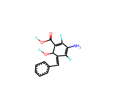 NC1=C(F)C(=Cc2ccccc2)C(OF)C(C(=O)OF)=C1F